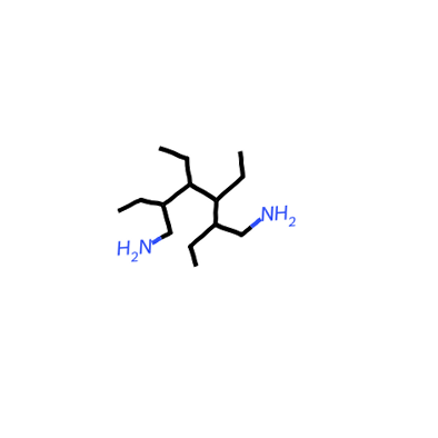 CCC(CN)C(CC)C(CC)C(CC)CN